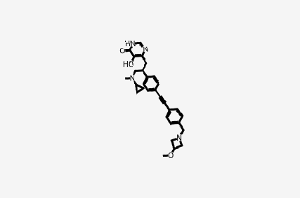 COC1CN(Cc2ccc(C#Cc3ccc(C(Cc4nc[nH]c(=O)c4O)CN(C)C4CC4)cc3)cc2)C1